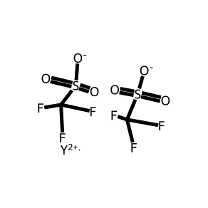 O=S(=O)([O-])C(F)(F)F.O=S(=O)([O-])C(F)(F)F.[Y+2]